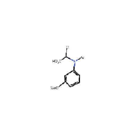 CCC(C(=O)O)N(C(C)=O)c1cccc(OC)c1